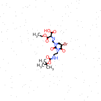 CCOC(=O)C(N=Cn1cc(Br)c(=O)n(CCNC(=O)OC(C)(C)C)c1=O)C(=O)O